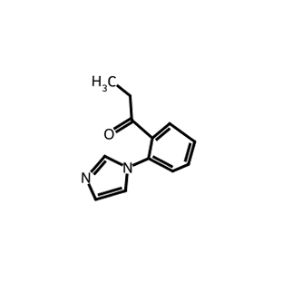 CCC(=O)c1ccccc1-n1ccnc1